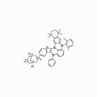 Cc1cccc(C)c1N1c2cc3c(cc2B2c4sc5ccc([C@@]6(C)C[C@@H]7C[C@H](C)C[C@@H](C7)C6)cc5c4N(c4ccccc4)c4cccc1c42)C(C)(C)CCC3(C)C